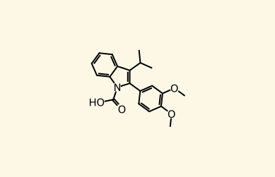 COc1ccc(-c2c(C(C)C)c3ccccc3n2C(=O)O)cc1OC